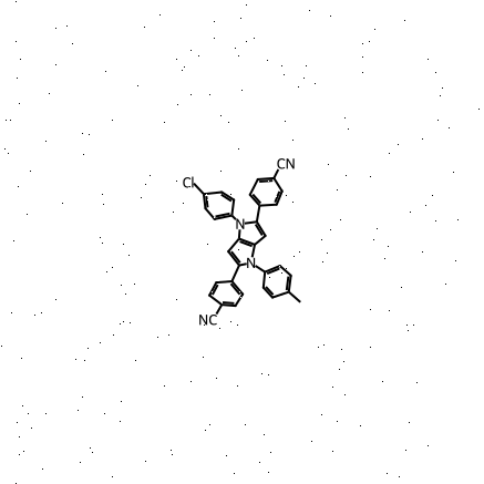 Cc1ccc(-n2c(-c3ccc(C#N)cc3)cc3c2cc(-c2ccc(C#N)cc2)n3-c2ccc(Cl)cc2)cc1